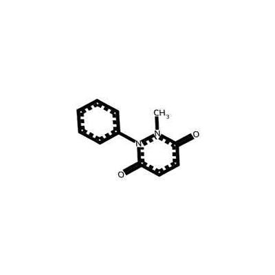 Cn1c(=O)ccc(=O)n1-c1ccccc1